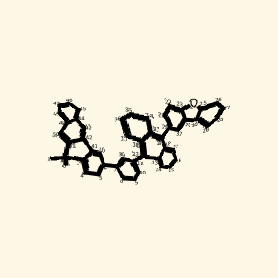 CC1(C)c2ccc(-c3cccc(-c4c5ccccc5c(-c5ccc6oc7ccccc7c6c5)c5ccccc45)c3)cc2-c2cc3ccccc3cc21